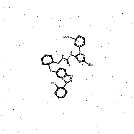 COc1cccc(-n2nc(C(C)(C)C)cc2NC(=O)NCc2ccccc2Sc2ccc3nnc(-c4ccccc4O)n3c2)c1